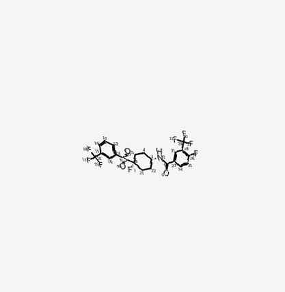 O=C(N[C@H]1CC[C@](F)(S(=O)(=O)c2cccc(C(F)(F)F)c2)CC1)c1ccc(F)c(C(F)(F)F)c1